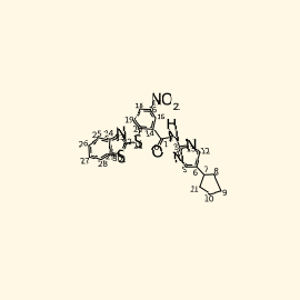 O=C(Nc1ncc(C2CCCC2)cn1)c1cc([N+](=O)[O-])ccc1Sc1nc2ccccc2s1